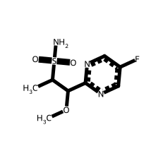 COC(c1ncc(F)cn1)C(C)S(N)(=O)=O